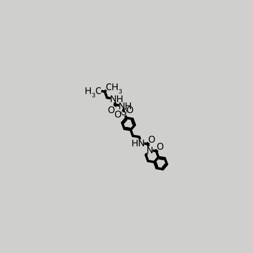 CC(C)CNC(=O)NS(=O)(=O)c1ccc(CCNC(=O)N2CCc3ccccc3C2=O)cc1